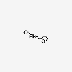 [O]CCCNCCC1CCCCO1